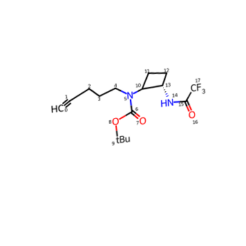 C#CCCCN(C(=O)OC(C)(C)C)C1CC[C@@H]1NC(=O)C(F)(F)F